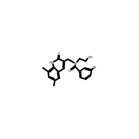 Cc1cc(C)c2[nH]c(=O)c(CN(CCO)C(=O)c3cccc(Br)c3)cc2c1